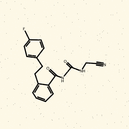 N#CCNC(=O)NC(=O)c1ccccc1CCc1ccc(F)cc1